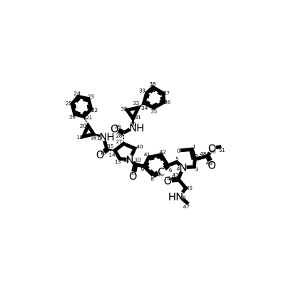 C/C=C(\CN(Cc1ccc(C(=O)N2C[C@@H](C(=O)N[C@H]3C[C@@H]3c3ccccc3)[C@H](C(=O)N[C@H]3C[C@@H]3c3ccccc3)C2)cc1)C(=O)CNC)C(=O)OC